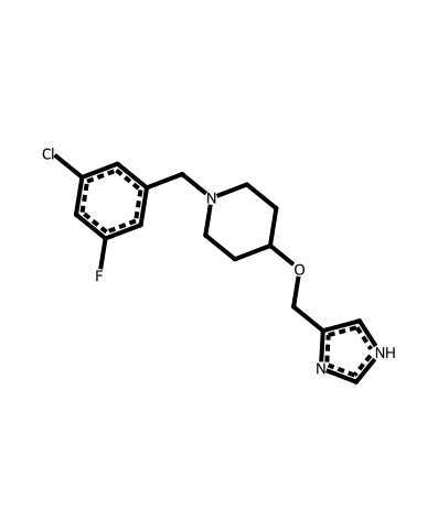 Fc1cc(Cl)cc(CN2CCC(OCc3c[nH]cn3)CC2)c1